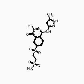 Cc1cc(Nc2nn(C(C)C)c(=O)c3cc(S(=O)(=O)CCS(C)(=O)=O)ccc23)n[nH]1